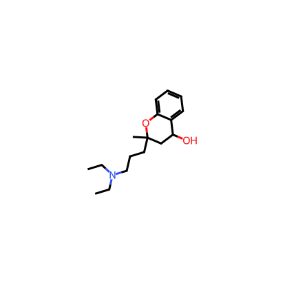 CCN(CC)CCCC1(C)CC(O)c2ccccc2O1